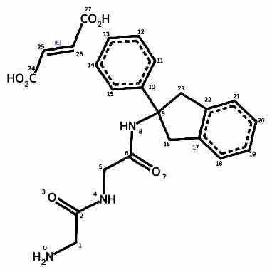 NCC(=O)NCC(=O)NC1(c2ccccc2)Cc2ccccc2C1.O=C(O)/C=C/C(=O)O